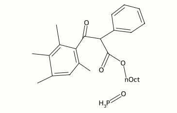 CCCCCCCCOC(=O)C(C(=O)c1c(C)cc(C)c(C)c1C)c1ccccc1.O=[PH3]